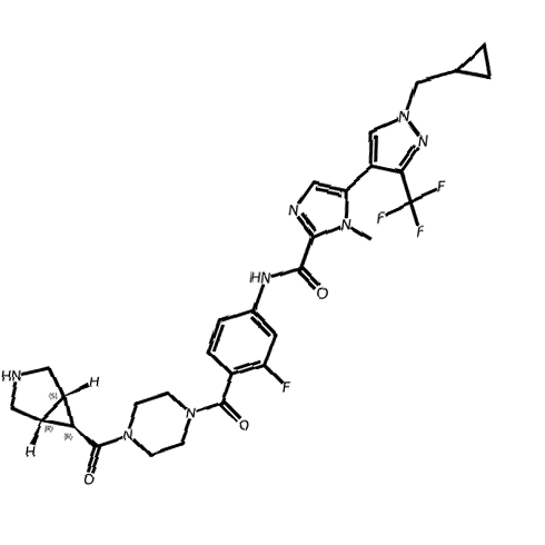 Cn1c(-c2cn(CC3CC3)nc2C(F)(F)F)cnc1C(=O)Nc1ccc(C(=O)N2CCN(C(=O)[C@H]3[C@@H]4CNC[C@@H]43)CC2)c(F)c1